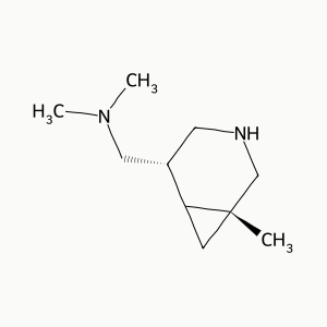 CN(C)C[C@@H]1CNC[C@]2(C)CC12